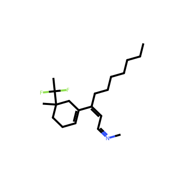 CCCCCCC/C(=C/C=N\C)C1=CCCC(C)(C(C)(F)F)C1